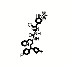 CS(=O)(=O)Nc1ccc(-c2nc(NC(=O)NC(CCC(c3ccc(F)cc3)c3ccc(F)cc3)Cc3ccccn3)sc2Cl)cc1